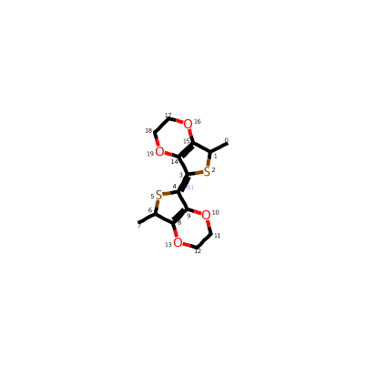 CC1S/C(=C2/SC(C)C3=C2OCCO3)C2=C1OCCO2